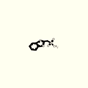 [CH2]S(=O)(=O)Cc1nc2ccccc2o1